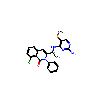 CSc1cnc(N)nc1N[C@@H](C)c1cc2cccc(Cl)c2c(=O)n1-c1ccccc1